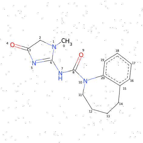 CN1CC(=O)N=C1NC(=O)N1CCCCc2ccccc21